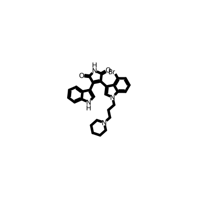 O=C1NC(=O)C(c2cn(CCCN3CCCCC3)c3cccc(Br)c23)=C1c1c[nH]c2ccccc12